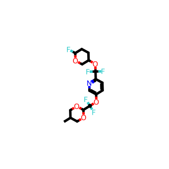 CC1COC(C(F)(F)Oc2ccc(C(F)(F)OC3CCC(F)OC3)nc2)OC1